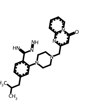 CC(C)Cc1ccc(C(=N)N=N)c(N2CCN(Cc3cc(=O)n4ccccc4n3)CC2)c1